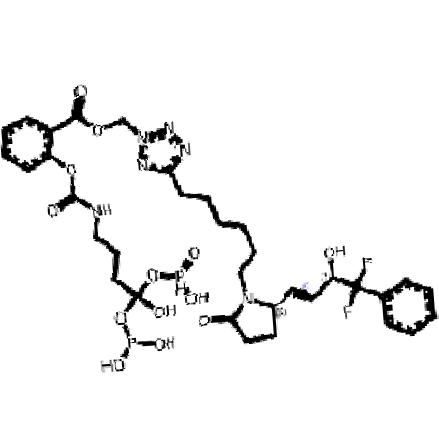 O=C(NCCCC(O)(OP(O)O)O[PH](=O)O)Oc1ccccc1C(=O)OCn1nnc(CCCCCCN2C(=O)CC[C@@H]2/C=C/[C@@H](O)C(F)(F)c2ccccc2)n1